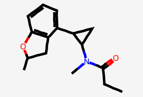 CCC(=O)N(C)C1CC1c1cccc2c1CC(C)O2